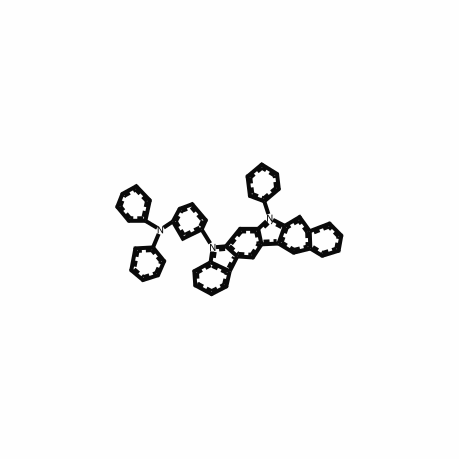 c1ccc(N(c2ccccc2)c2cccc(-n3c4ccccc4c4cc5c6cc7ccccc7cc6n(-c6ccccc6)c5cc43)c2)cc1